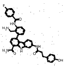 NCc1c(NC(=O)c2ccc(F)cc2)cccc1-c1ccc(C(N)=O)c2[nH]c3cc(NC(=O)CCc4ccc(O)cc4)ccc3c12